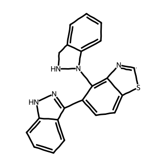 [c]1nc2c(N3NCc4ccccc43)c(-c3n[nH]c4ccccc34)ccc2s1